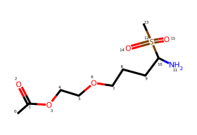 CC(=O)OCCOCCCC(N)S(C)(=O)=O